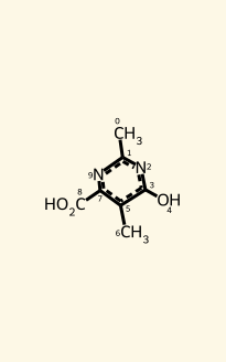 Cc1nc(O)c(C)c(C(=O)O)n1